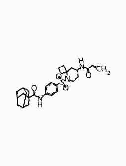 C=CC(=O)NC1CCN(S(=O)(=O)c2ccc(NC(=O)C34CC5CC(CC(C5)C3)C4)cc2)C2(CCC2)C1